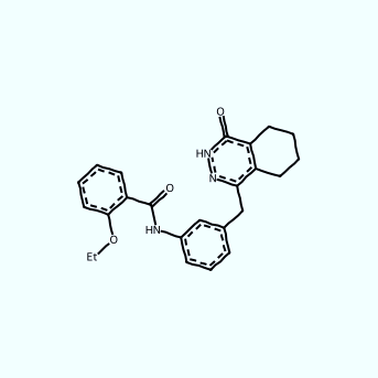 CCOc1ccccc1C(=O)Nc1cccc(Cc2n[nH]c(=O)c3c2CCCC3)c1